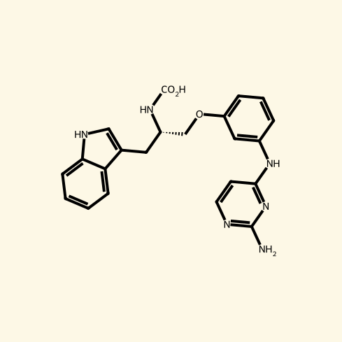 Nc1nccc(Nc2cccc(OC[C@H](Cc3c[nH]c4ccccc34)NC(=O)O)c2)n1